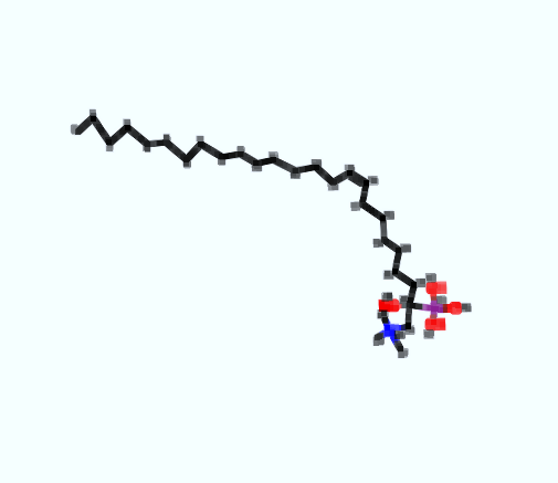 CCCCCCCCCCCCCCC/C=C\CCCCCCC(O)(C[N+](C)(C)C)P(=O)(O)O